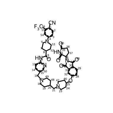 N#Cc1ccc(N2CCC(C(=O)Nc3ccc(CN4CCC(CN5CCC(Oc6ccc7c(c6)C(=O)N(C6CCC(=O)NC6=O)C7=O)CC5)CC4)cn3)CC2)cc1C(F)(F)F